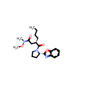 CCCC[C@H](CC(=O)N(C)OC)C(=O)N1CCC[C@H]1c1nc2ccccc2o1